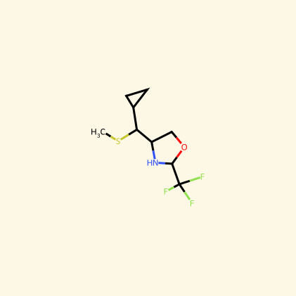 CSC(C1CC1)C1COC(C(F)(F)F)N1